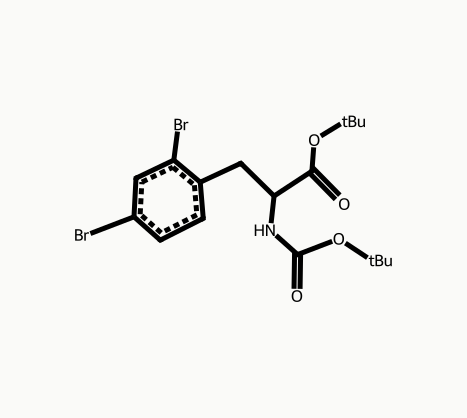 CC(C)(C)OC(=O)NC(Cc1ccc(Br)cc1Br)C(=O)OC(C)(C)C